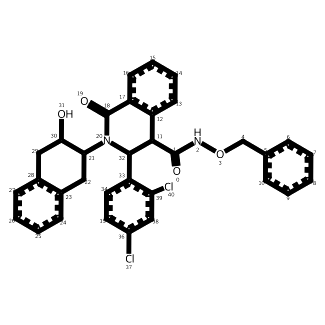 O=C(NOCc1ccccc1)C1c2ccccc2C(=O)N(C2Cc3ccccc3CC2O)C1c1ccc(Cl)cc1Cl